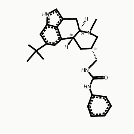 CN1C[C@H](CNC(=O)Nc2ccccc2)C[C@@H]2c3cc(C(C)(C)C)cc4[nH]cc(c34)C[C@H]21